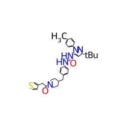 Cc1ccc(-n2nc(C(C)(C)C)cc2NC(=O)Nc2ccc(CC3CCN(C(=O)Cc4ccsc4)CC3)cc2)cc1